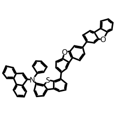 c1ccc(N(c2cc3ccccc3c3ccccc23)c2cccc3c2sc2c(-c4ccc5oc6cc(-c7ccc8c(c7)oc7ccccc78)ccc6c5c4)cccc23)cc1